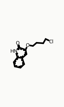 O=c1[nH]c2ccccc2cc1OCCCCCl